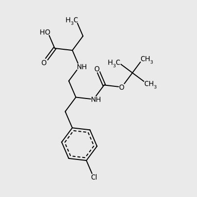 CCC(NCC(Cc1ccc(Cl)cc1)NC(=O)OC(C)(C)C)C(=O)O